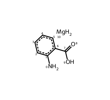 Nc1ccccc1C(=O)O.[MgH2]